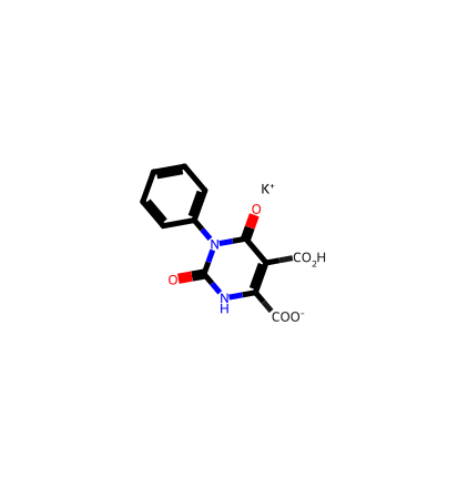 O=C([O-])c1[nH]c(=O)n(-c2ccccc2)c(=O)c1C(=O)O.[K+]